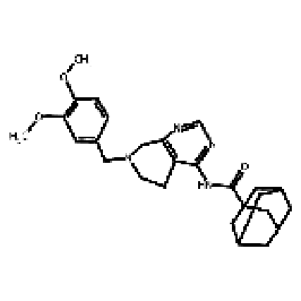 COc1ccc(CN2CCc3c(ncnc3NC(=O)C34CC5CC(CC(C5)C3)C4)C2)cc1OC